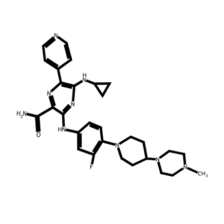 CN1CCN(C2CCN(c3ccc(Nc4nc(NC5CC5)c(-c5ccncc5)nc4C(N)=O)cc3F)CC2)CC1